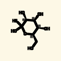 OC[C@H]1OC(O)(S)[C@H](O)[C@@H](O)[C@@H]1O